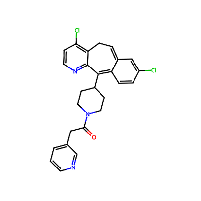 O=C(Cc1cccnc1)N1CCC(C2=c3ccc(Cl)cc3=CCc3c(Cl)ccnc32)CC1